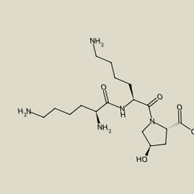 NCCCC[C@H](NC(=O)[C@@H](N)CCCCN)C(=O)N1C[C@H](O)C[C@H]1C(=O)O